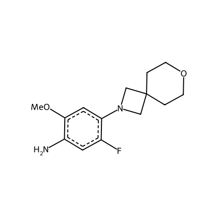 COc1cc(N2CC3(CCOCC3)C2)c(F)cc1N